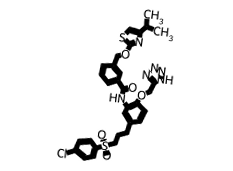 CC(C)c1csc(OCc2cccc(C(=O)Nc3cc(CCCS(=O)(=O)c4ccc(Cl)cc4)ccc3OCc3nnn[nH]3)c2)n1